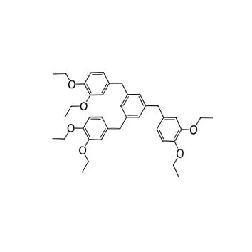 CCOc1ccc(Cc2cc(Cc3ccc(OCC)c(OCC)c3)cc(Cc3ccc(OCC)c(OCC)c3)c2)cc1OCC